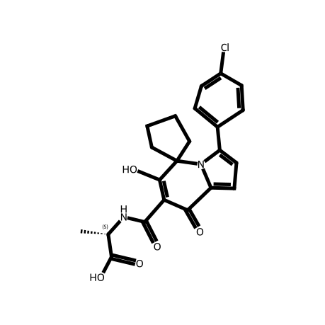 C[C@H](NC(=O)C1=C(O)C2(CCCC2)n2c(ccc2-c2ccc(Cl)cc2)C1=O)C(=O)O